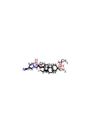 COC[C@H]1C[C@H]2[C@H](CC[C@@H]3[C@@H]2CC[C@@]2(C)[C@H]3CC[C@@H]2[C@@](C)(O)Cn2cc(C#N)cn2)C[C@]1(C)O